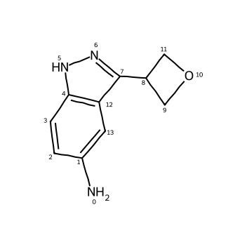 Nc1ccc2[nH]nc(C3COC3)c2c1